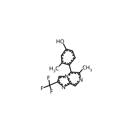 Cc1cc(O)ccc1-c1c(C)ncc2nc(C(F)(F)F)cn12